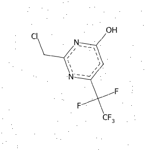 Oc1cc(C(F)(F)C(F)(F)F)nc(CCl)n1